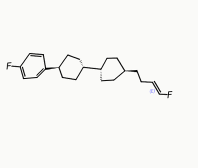 F/C=C/CC[C@H]1CC[C@H]([C@H]2CC[C@H](c3ccc(F)cc3)CC2)CC1